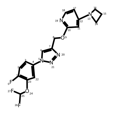 Fc1ccc(-n2cc(COc3cc(N4CCC4)ccn3)nn2)cc1OC(F)F